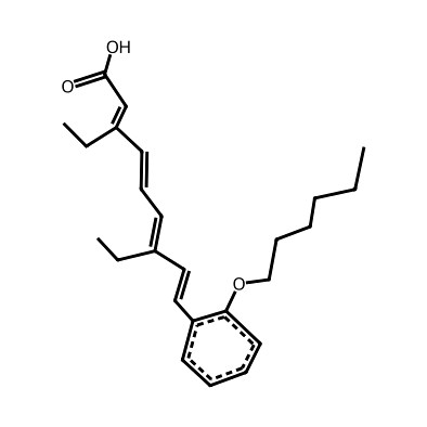 CCCCCCOc1ccccc1/C=C/C(=C/C=C/C(=C/C(=O)O)CC)CC